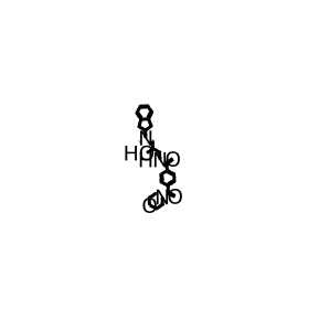 CN(CC(O)CNC(=O)c1ccc(C(=O)N2CCOCC2)cc1)C1Cc2ccccc2C1